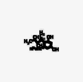 C=C(C)C(C)[C@@H](C)c1c(O)cc(O)cc1CCCCC